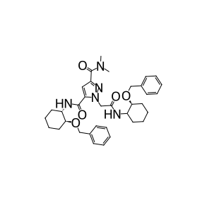 CN(C)C(=O)c1cc(C(=O)N[C@H]2CCCC[C@@H]2OCc2ccccc2)n(CC(=O)NC2CCCC[C@@H]2OCc2ccccc2)n1